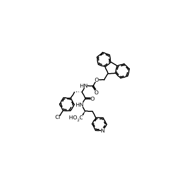 O=C(N[C@@H](Cc1ccc(Cl)cc1)C(=O)N[C@@H](Cc1ccncc1)C(=O)O)OCC1c2ccccc2-c2ccccc21